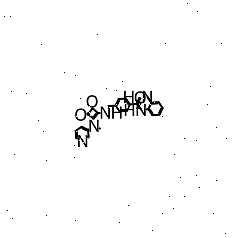 CN(c1cccnc1)c1c(NCc2ccc(C(=O)Nc3ccccc3N)cc2)c(=O)c1=O